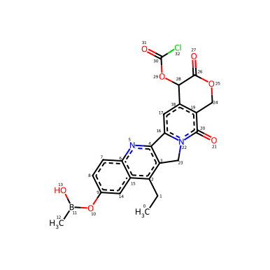 CCc1c2c(nc3ccc(OB(C)O)cc13)-c1cc3c(c(=O)n1C2)COC(=O)C3OC(=O)Cl